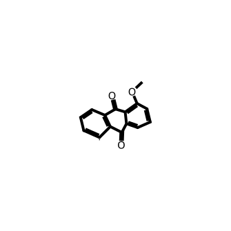 COc1cccc2c1C(=O)c1ccc[c]c1C2=O